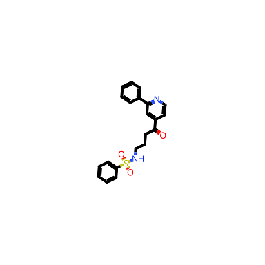 O=C(CCCNS(=O)(=O)c1ccccc1)c1ccnc(-c2ccccc2)c1